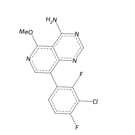 COc1ncc(-c2ccc(F)c(Cl)c2F)c2ncnc(N)c12